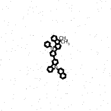 CC1(C)c2ccccc2-c2c1ccc1c3cc(-c4ccc5c(c4)c4ccccc4n5-c4ccc5ccccc5c4)ccc3n(-c3ccccc3)c21